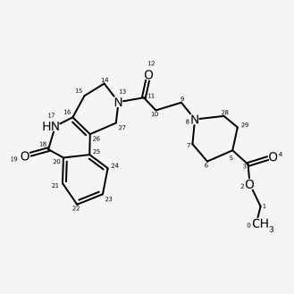 CCOC(=O)C1CCN(CCC(=O)N2CCc3[nH]c(=O)c4ccccc4c3C2)CC1